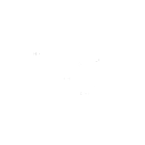 CCc1cccc(OC(C)=O)c1COc1ccc(C)cc1C